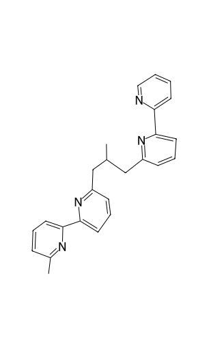 Cc1cccc(-c2cccc(CC(C)Cc3cccc(-c4ccccn4)n3)n2)n1